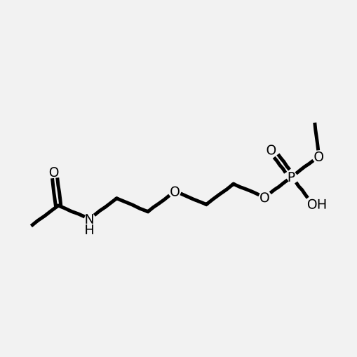 COP(=O)(O)OCCOCCNC(C)=O